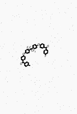 Cc1ccc(C(=O)c2ccc(Oc3ccc(C(c4ccc(Oc5ccc(C(=O)c6ccc(F)cc6)cc5)cc4)(C(F)(F)F)C(F)(F)F)cc3)cc2)cc1